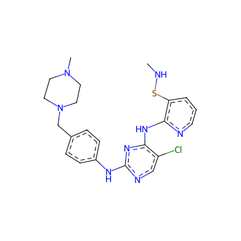 CNSc1cccnc1Nc1nc(Nc2ccc(CN3CCN(C)CC3)cc2)ncc1Cl